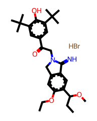 Br.CCOc1cc2c(cc1C(CC)OC)C(=N)N(CC(=O)c1cc(C(C)(C)C)c(O)c(C(C)(C)C)c1)C2